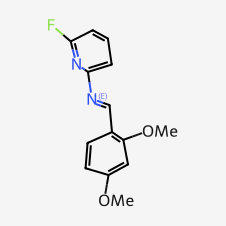 COc1ccc(/C=N/c2cccc(F)n2)c(OC)c1